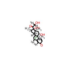 [2H]C1=C2C([2H])C[C@H]3[C@@H]4C[C@@H](C)[C@](O)(C(=O)C([2H])([2H])O)[C@@]4(C)C[C@H](O)[C@]3(F)[C@@]2(C)C=CC1=O